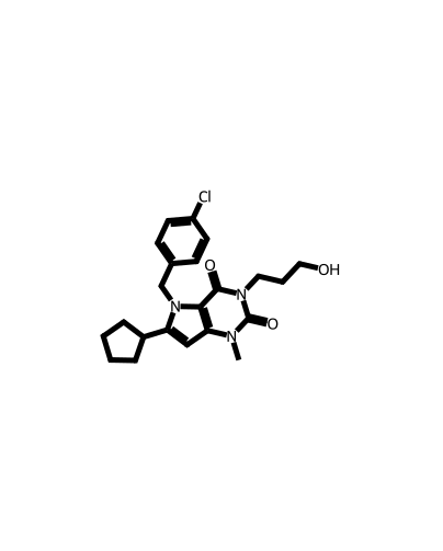 Cn1c(=O)n(CCCO)c(=O)c2c1cc(C1CCCC1)n2Cc1ccc(Cl)cc1